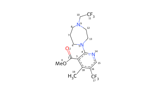 COC(=O)c1c(N2CCCN(CC(F)(F)F)CC2)ncc(C(F)(F)F)c1C